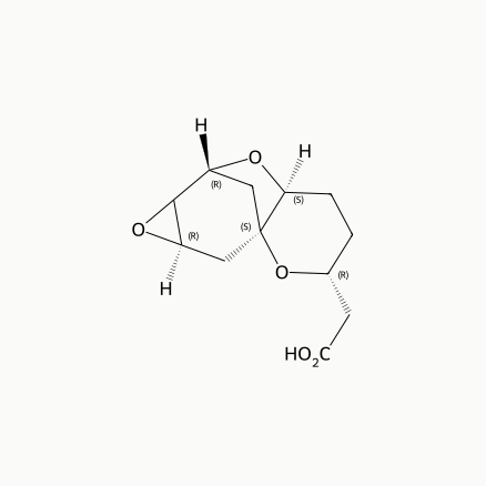 O=C(O)C[C@H]1CC[C@@H]2O[C@@H]3C[C@]2(C[C@H]2OC23)O1